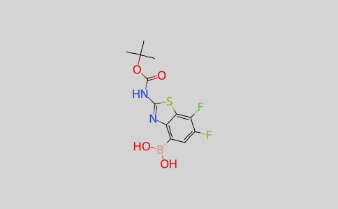 CC(C)(C)OC(=O)Nc1nc2c(B(O)O)cc(F)c(F)c2s1